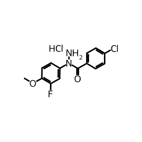 COc1ccc(N(N)C(=O)c2ccc(Cl)cc2)cc1F.Cl